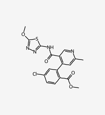 COC(=O)c1ccc(Cl)cc1-c1cc(C)ncc1C(=O)Nc1nnc(OC)s1